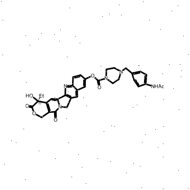 CC[C@@]1(O)C(=O)OCc2c1cc1n(c2=O)Cc2cc3cc(OC(=O)N4CCN(Cc5ccc(NC(C)=O)cc5)CC4)ccc3nc2-1